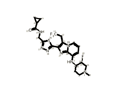 CN1CC[C@@H](Nc2cccn3c(CC(F)(F)F)c(-c4nnc(CNC(=O)C5CC5)s4)nc23)[C@@H](F)C1